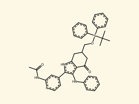 CC(=O)Nc1cc(-c2[nH]c3c(c2Nc2ccccc2)C(=O)CC(CO[Si](c2ccccc2)(c2ccccc2)C(C)(C)C)C3)ccn1